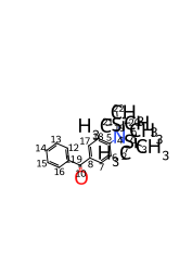 C[Si](C)(C)N(c1ccc(C(=O)c2ccccc2)cc1)[Si](C)(C)C